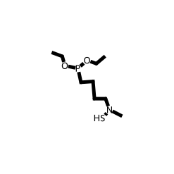 CCOP(CCCCN(C)S)OCC